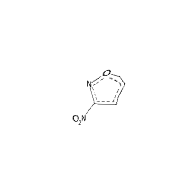 O=[N+]([O-])c1ccon1